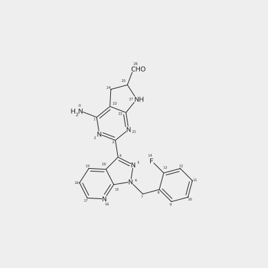 Nc1nc(-c2nn(Cc3ccccc3F)c3ncccc23)nc2c1CC(C=O)N2